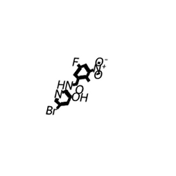 Cc1c(C(=O)Nc2ncc(Br)cc2O)cc(F)cc1[N+](=O)[O-]